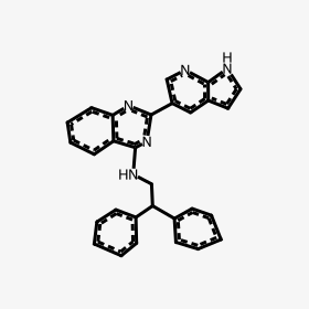 c1ccc(C(CNc2nc(-c3cnc4[nH]ccc4c3)nc3ccccc23)c2ccccc2)cc1